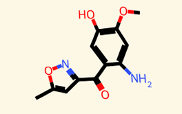 COc1cc(N)c(C(=O)c2cc(C)on2)cc1O